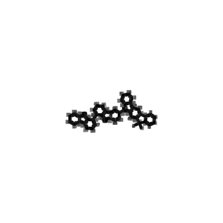 CC1(C)c2ccccc2-c2cc3c4ccccc4n(-c4ccc5oc6c(-c7cccc8c7oc7ccccc78)cccc6c5c4)c3cc21